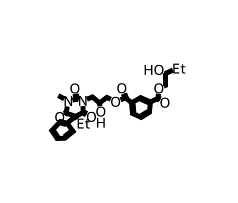 CCC(O)COC(=O)c1cccc(C(=O)OCC(O)CN2C(=O)N(C)C(=O)C(CC)(c3ccccc3)C2=O)c1